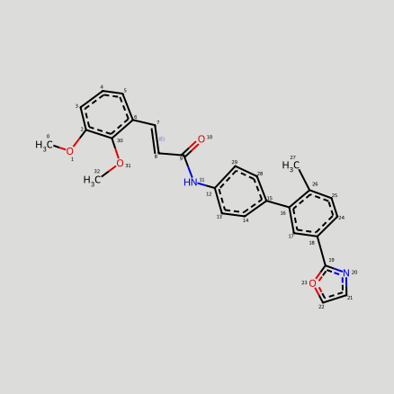 COc1cccc(/C=C/C(=O)Nc2ccc(-c3cc(-c4ncco4)ccc3C)cc2)c1OC